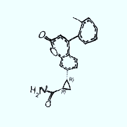 Cc1ccccc1-c1cc(=O)oc2cc([C@@H]3C[C@H]3C(N)=O)ccc12